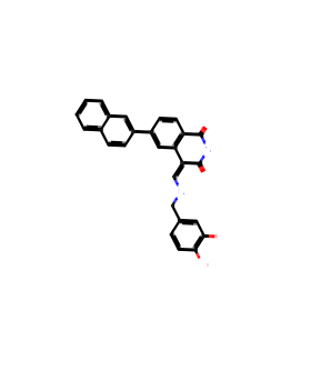 O=C1NC(=O)c2ccc(-c3ccc4ccccc4c3)cc2C1=CNCc1ccc(O)c(O)c1